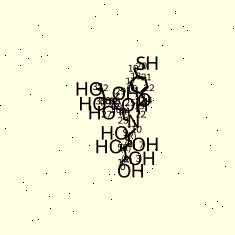 OC[C@@H](O)[C@@H](O)[C@H](O)[C@H](O)CN(CCOc1ccc(CS)cc1)C[C@@H](O)[C@@H](O)[C@H](O)[C@H](O)CO